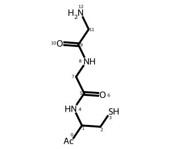 CC(=O)C(CS)NC(=O)CNC(=O)CN